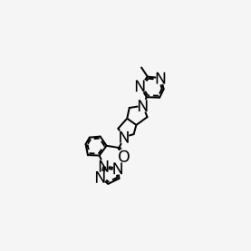 Cc1nccc(N2CC3CN(C(=O)c4ccccc4-n4nccn4)CC3C2)n1